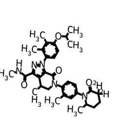 [2H]C1([2H])CCC(C)N(c2ccc(N3CC(C)c4c(C(=O)NC)nn(-c5ccc(OC(C)C)c(C)c5C)c4C3=O)c(C)c2)C1=O